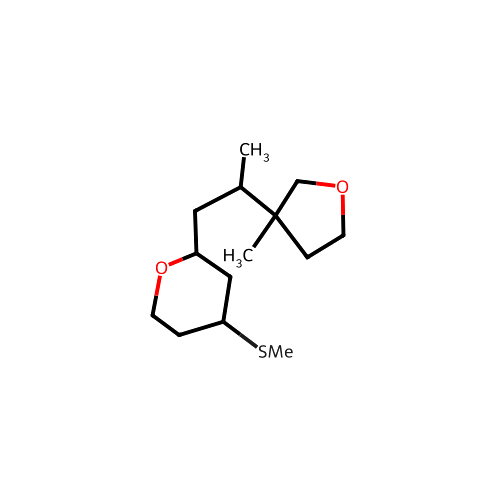 CSC1CCOC(CC(C)C2(C)CCOC2)C1